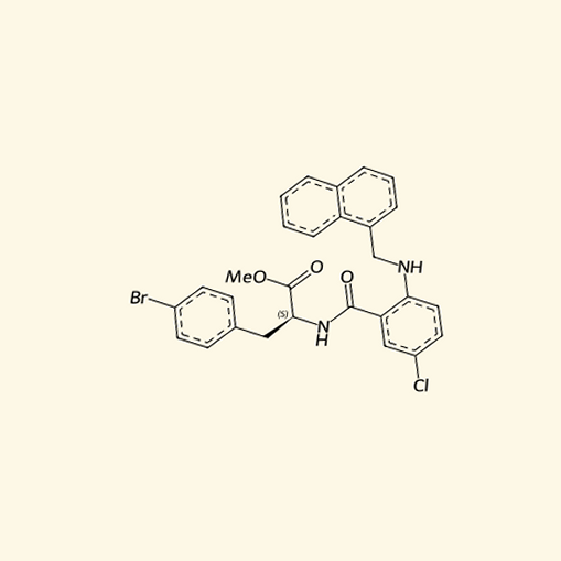 COC(=O)[C@H](Cc1ccc(Br)cc1)NC(=O)c1cc(Cl)ccc1NCc1cccc2ccccc12